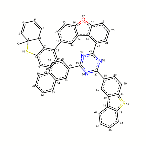 CC12C=CC=CC1c1c(cccc1-c1ccc3oc4cccc(-c5nc(-c6ccc7ccccc7c6)nc(-c6ccc7sc8ccccc8c7c6)n5)c4c3c1)S2